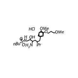 CCCCS(=O)(=O)NCC(O)C(N)CC(Cc1ccc(OC)c(OCCCOC)c1)C(C)C.Cl